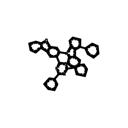 c1ccc(-c2nc(-c3ccccc3)nc(-c3cc4c(cc3-n3c5ccccc5c5c(-c6ccccc6)cccc53)oc3ccccc34)n2)cc1